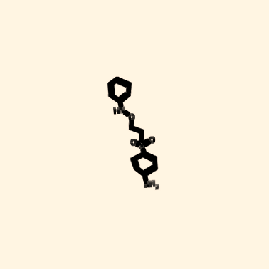 Nc1ccc(S(=O)(=O)CCONc2ccccc2)cc1